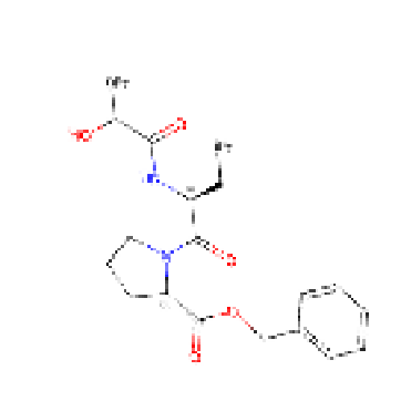 CCCC(O)C(=O)N[C@@H](CC(C)C)C(=O)N1CCC[C@H]1C(=O)OCc1ccccc1